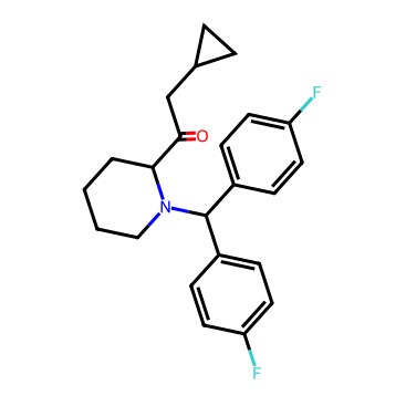 O=C(CC1CC1)C1CCCCN1C(c1ccc(F)cc1)c1ccc(F)cc1